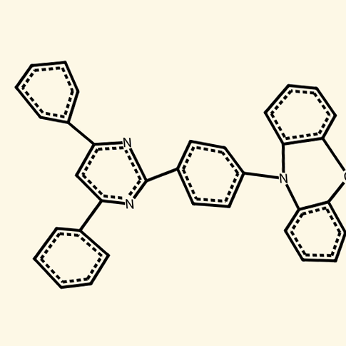 c1ccc(-c2cc(-c3ccccc3)nc(-c3ccc(N4c5ccccc5Oc5ccccc54)cc3)n2)cc1